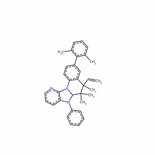 C=CC1(C)c2cc(-c3c(C)cccc3C)ccc2N2c3ncccc3N(c3ccccc3)C2C1(C)C